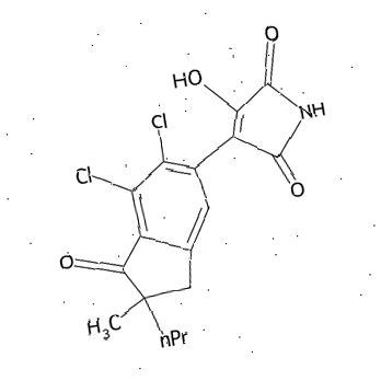 CCCC1(C)Cc2cc(C3=C(O)C(=O)NC3=O)c(Cl)c(Cl)c2C1=O